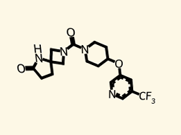 O=C1CCC2(CN(C(=O)N3CCC(Oc4cncc(C(F)(F)F)c4)CC3)C2)N1